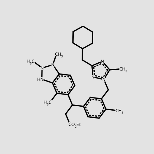 CCOC(=O)CC(c1ccc(C)c(Cn2nc(CC3CCCCC3)nc2C)c1)c1ccc2c(c1C)NN(C)N2C